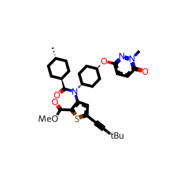 COC(=O)c1sc(C#CC(C)(C)C)cc1N(C(=O)[C@H]1CC[C@H](C)CC1)[C@H]1CC[C@@H](Oc2ccc(=O)n(C)n2)CC1